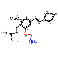 C=C(C)CCc1c(OC)cc(/C=C/c2ccccc2)cc1OCN